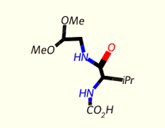 COC(CNC(=O)C(NC(=O)O)C(C)C)OC